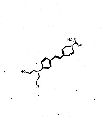 CCCC(N1C=CC(/C=C/c2ccc(N(CCO)CCO)cc2)=CC1)S(=O)(=O)O